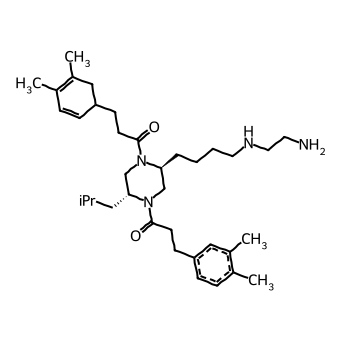 CC1=C(C)CC(CCC(=O)N2C[C@@H](CC(C)C)N(C(=O)CCc3ccc(C)c(C)c3)C[C@@H]2CCCCNCCN)C=C1